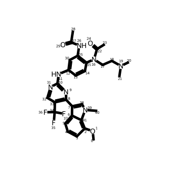 COc1cccc2c(-c3nc(Nc4ccc(N(CCN(C)C)C(C)=O)c(NC(C)=O)c4)ncc3C(F)(F)F)cn(C)c12